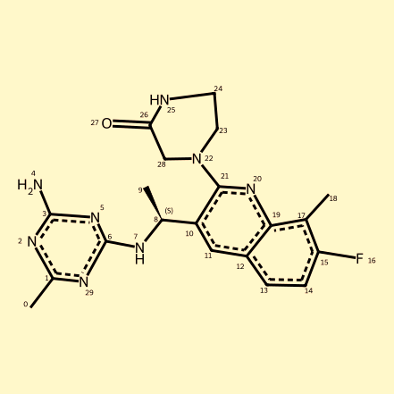 Cc1nc(N)nc(N[C@@H](C)c2cc3ccc(F)c(C)c3nc2N2CCNC(=O)C2)n1